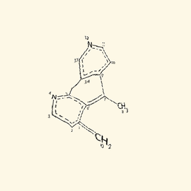 C=c1ccnc2c1=C(C)c1ccncc1-2